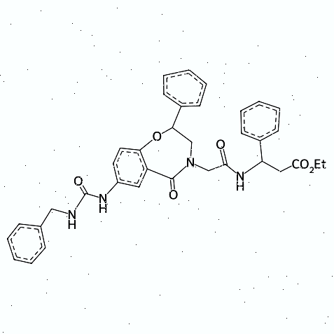 CCOC(=O)CC(NC(=O)CN1CC(c2ccccc2)Oc2ccc(NC(=O)NCc3ccccc3)cc2C1=O)c1ccccc1